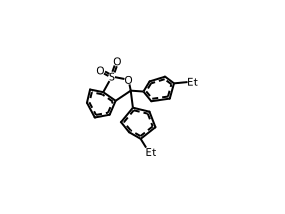 CCc1ccc(C2(c3ccc(CC)cc3)OS(=O)(=O)c3ccccc32)cc1